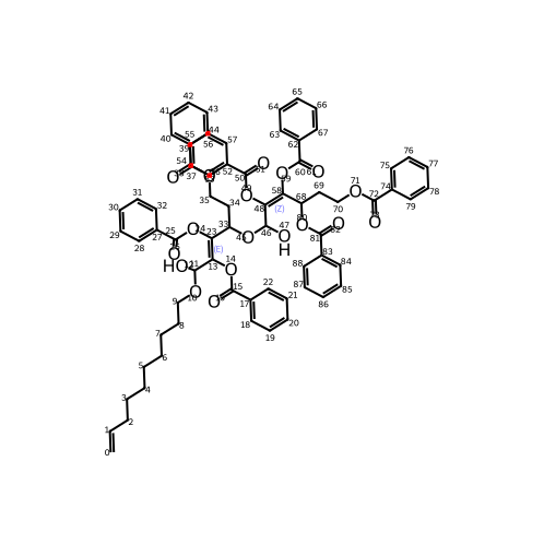 C=CCCCCCCCCOC(O)/C(OC(=O)c1ccccc1)=C(\OC(=O)c1ccccc1)C(CCOC(=O)c1ccccc1)OC(O)/C(OC(=O)c1ccccc1)=C(/OC(=O)c1ccccc1)C(CCOC(=O)c1ccccc1)OC(=O)c1ccccc1